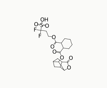 O=C(OCCC(F)(F)S(=O)(=O)O)C1CCCCC1C(=O)OC1C2CC3C(=O)OC1C3C2